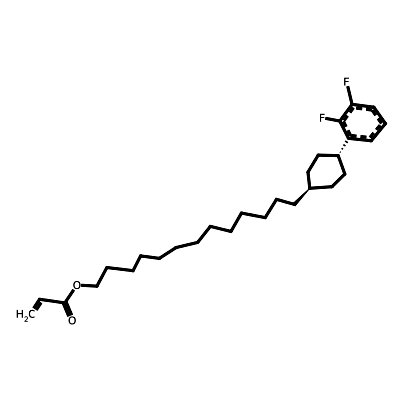 C=CC(=O)OCCCCCCCCCCCCC[C@H]1CC[C@H](c2cccc(F)c2F)CC1